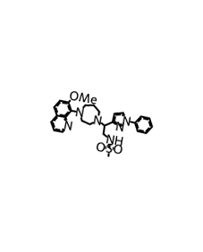 COc1ccc2cccnc2c1N1CCCN(C(CNS(C)(=O)=O)c2ccn(-c3ccccc3)n2)CC1